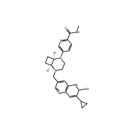 CNC(=O)c1ccc(N2CCN(Cc3cnc4c(c3)NC(O)C(C3CC3)=C4)[C@H]3CC[C@H]32)cn1